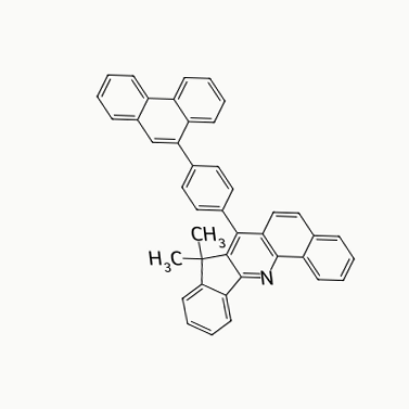 CC1(C)c2ccccc2-c2nc3c(ccc4ccccc43)c(-c3ccc(-c4cc5ccccc5c5ccccc45)cc3)c21